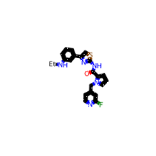 CCNc1cccc(-c2csc(NC(=O)c3cccn3Cc3ccnc(F)c3)n2)c1